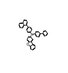 c1ccc(-c2ccc(N(c3ccc(-c4cccc5ccccc45)cc3)c3ccc4oc5ccccc5c4c3)cc2)cc1